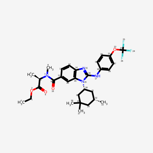 CCOC(=O)[C@@H](C)N(C)C(=O)c1ccc2nc(Nc3ccc(OC(F)(F)F)cc3)n([C@@H]3C[C@H](C)CC(C)(C)C3)c2c1